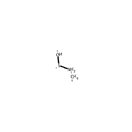 C.NSO